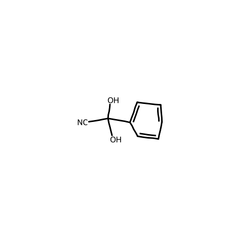 N#CC(O)(O)c1ccccc1